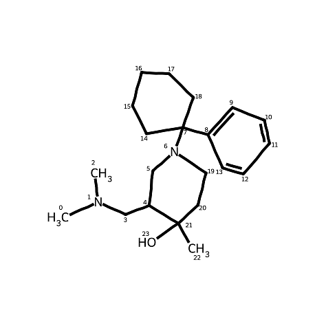 CN(C)CC1CN(C2(c3ccccc3)CCCCC2)CCC1(C)O